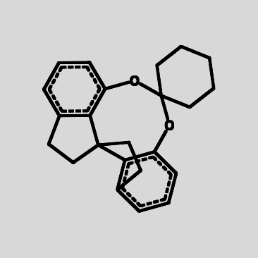 c1cc2c3c(c1)OC1(CCCCC1)Oc1cccc4c1C3(CC2)CC4